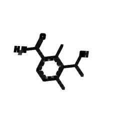 Cc1ccc(C(N)=O)c(C)c1C(C)S